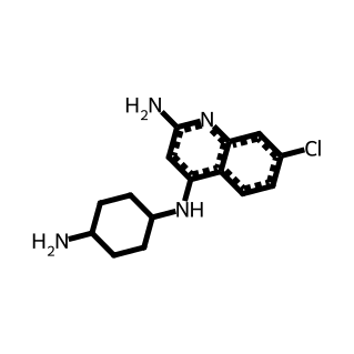 Nc1cc(NC2CCC(N)CC2)c2ccc(Cl)cc2n1